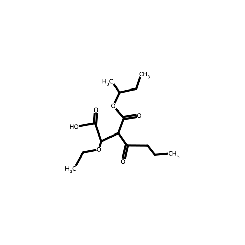 CCCC(=O)C(C(=O)OC(C)CC)C(OCC)C(=O)O